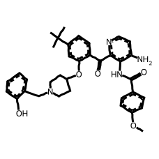 COc1ccc(C(=O)Nc2c(N)ccnc2C(=O)c2ccc(C(C)(C)C)cc2OC2CCN(Cc3ccccc3O)CC2)cc1